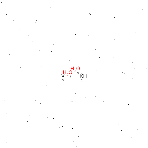 O.O.[KH].[V]